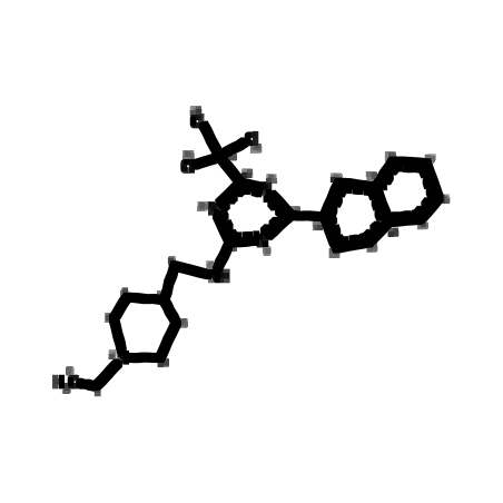 CCN1CCC(CNc2nc(-c3ccc4ccccc4c3)nc(C(Cl)(Cl)Cl)n2)CC1